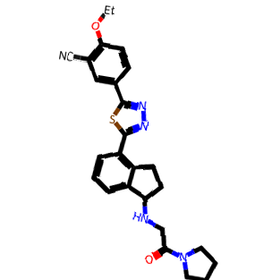 CCOc1ccc(-c2nnc(-c3cccc4c3CCC4NCC(=O)N3CCCC3)s2)cc1C#N